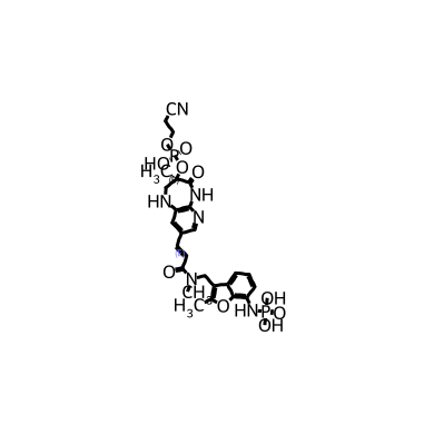 Cc1oc2c(NP(=O)(O)O)cccc2c1CN(C)C(=O)/C=C/c1cnc2c(c1)NC[C@@](C)(OP(=O)(O)OCCC#N)C(=O)N2